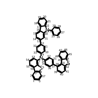 C1=C=Cc2c(sc3c(N(c4ccc(-c5ccc6c7ccccc7n(-c7ccccc7)c6c5)cc4)c4ccc(-c5cccc6sc7ccccc7c56)cc4)cccc23)C=1